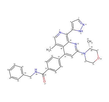 Cc1cnc(-c2ccn[nH]2)c2nc(N3CCOC[C@H]3C)cc(-c3ccc(C(=O)NCc4ccccc4)cc3)c12